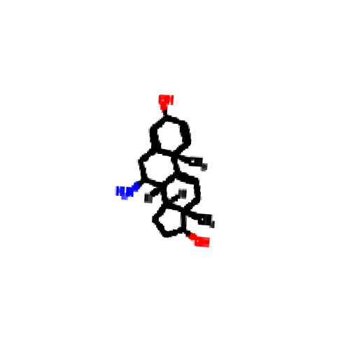 C[C@]12C=C[C@H](O)C=C1C[C@H](N)[C@@H]1C2=CC[C@]2(C)[C@@H](O)CC[C@@H]12